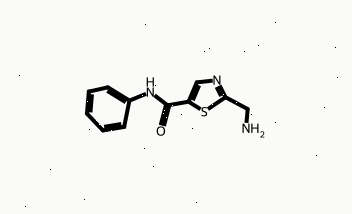 NCc1ncc(C(=O)Nc2ccccc2)s1